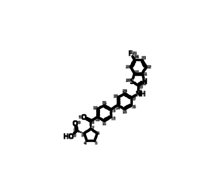 O=C(O)[C@H]1CCC[C@@H]1C(=O)c1ccc(-c2ccc(Nc3nc4ccc(F)cc4s3)cc2)cc1